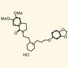 COc1cc2c(cc1OC)C(=O)N(CCC1CCCCN1CCCOc1ccc3c(c1)OCO3)CC2.Cl